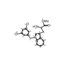 COC(=O)C(N)Cc1cn(Cc2cc(Cl)cc(Cl)c2)c2ccccc12